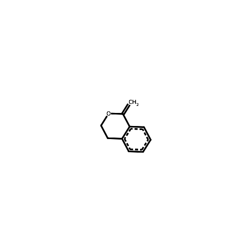 C=C1OCCc2ccccc21